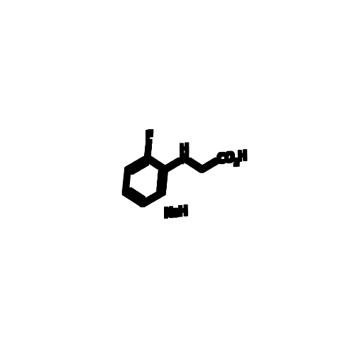 O=C(O)CNc1ccccc1F.[NaH]